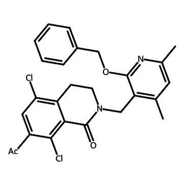 CC(=O)c1cc(Cl)c2c(c1Cl)C(=O)N(Cc1c(C)cc(C)nc1OCc1ccccc1)CC2